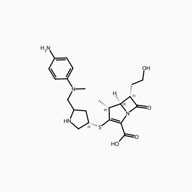 C[C@H]1C(S[C@@H]2CNC(CN(C)c3ccc(N)cc3)C2)=C(C(=O)O)N2C(=O)[C@@H](CCO)[C@H]12